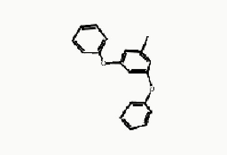 Cc1cc(Oc2ccccc2)cc(Oc2ccccc2)c1